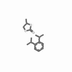 CC(C)c1ccccc1C(C)C.CC1COC(=O)O1